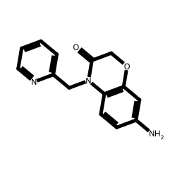 Nc1ccc2c(c1)OCC(=O)N2Cc1ccccn1